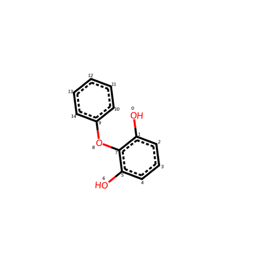 Oc1cccc(O)c1Oc1ccccc1